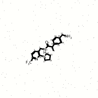 CC(C(=O)NCc1ccc(C(F)(F)F)nc1N1CCCC1)c1ccc(CN)cc1